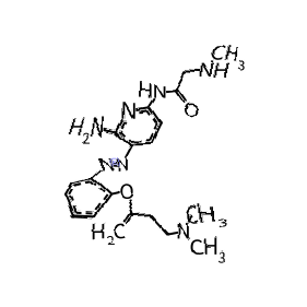 C=C(CCN(C)C)Oc1ccccc1/N=N/c1ccc(NC(=O)CNC)nc1N